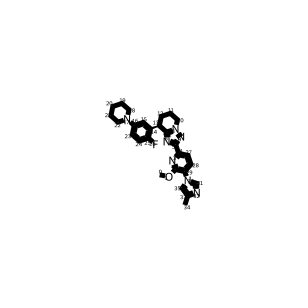 COc1nc(-c2nc3n(n2)CCC[C@@H]3c2cc(N3CCCCC3)ccc2F)ccc1-n1cnc(C)c1